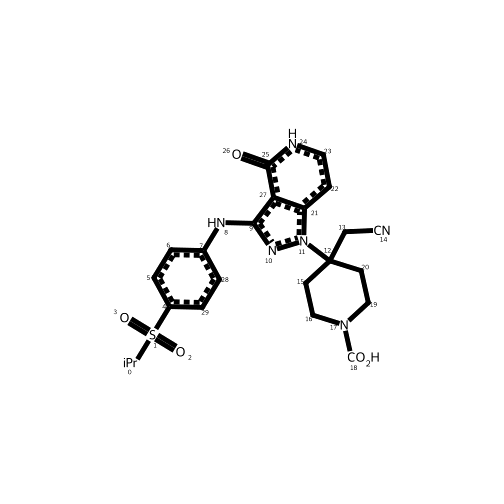 CC(C)S(=O)(=O)c1ccc(Nc2nn(C3(CC#N)CCN(C(=O)O)CC3)c3cc[nH]c(=O)c23)cc1